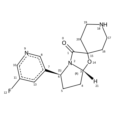 O=C1N2[C@@H](CC[C@H]2c2cncc(F)c2)OC12CCNCC2